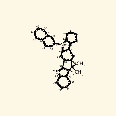 CC1(C)c2cc3c4ccccc4n(-c4ccc5ccccc5c4)c3cc2-c2sc3ccccc3c21